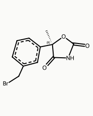 C[C@]1(c2cccc(CBr)c2)OC(=O)NC1=O